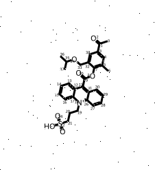 CC(=O)c1cc(C)c(OC(=O)c2c3ccccc3[n+](CCCS(=O)(=O)O)c3ccccc23)c(COC(C)C)c1